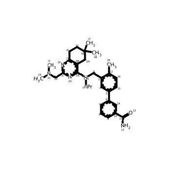 CCCN(Cc1cc(-c2cccc(C(N)=O)c2)ccc1C)c1nc(CN(C)C)nc2c1CC(C)(C)CC2